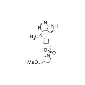 COCC1CCN(S(=O)(=O)C[C@H]2C[C@@H](N(C)c3ncnc4[nH]ccc34)C2)C1